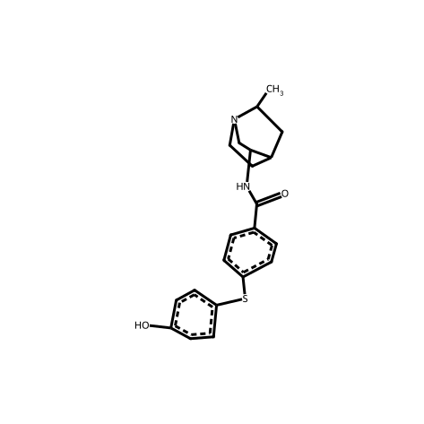 CC1CC2CCN1CC2NC(=O)c1ccc(Sc2ccc(O)cc2)cc1